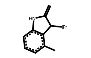 C=C1Nc2cccc(C)c2C1C(C)C